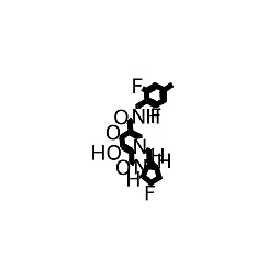 Cc1cc(F)c(CNC(=O)c2cn3c(c(O)c2=O)C(=O)N2[C@@H]4C[C@@H](C[C@H]4F)[C@@H]2C3)c(F)c1